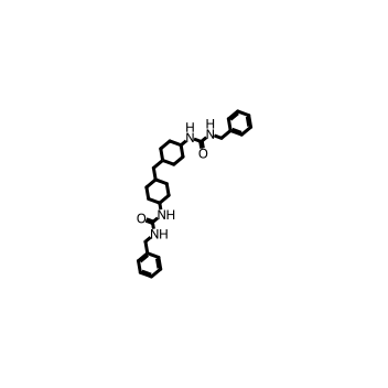 O=C(NCc1ccccc1)NC1CCC(CC2CCC(NC(=O)NCc3ccccc3)CC2)CC1